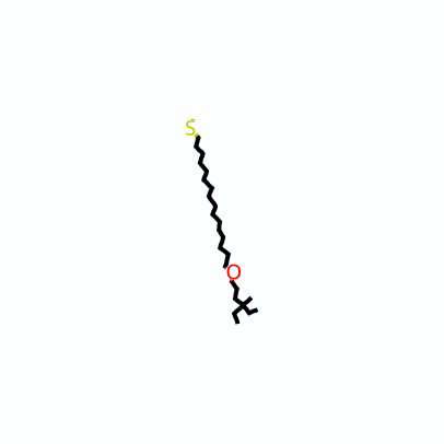 CCC(C)(CC)CCCOCCCCCCCCCCCCCCCCSC